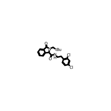 CC(C)(C)CN1C(=O)c2ccccc2C1C(=O)NCCc1ccc(Cl)cc1Cl